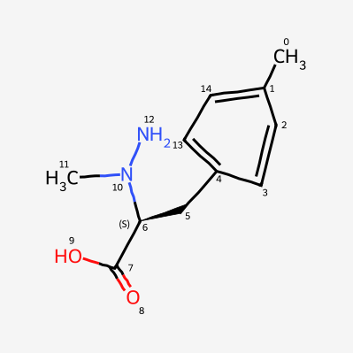 Cc1ccc(C[C@@H](C(=O)O)N(C)N)cc1